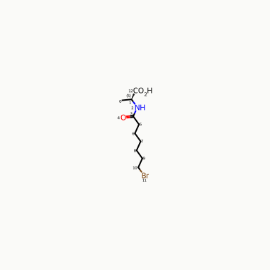 C[C@H](NC(=O)CCCCCCBr)C(=O)O